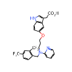 O=C(O)Cc1c[nH]c2ccc(OCCCN(Cc3ccc(C(F)(F)F)cc3C(F)(F)F)c3ccccn3)cc12